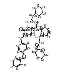 O=C(NCc1ccc(Oc2ccccc2)cc1)[C@H](CSCC1CCCCC1)NC(=O)[C@@H]1CSCN1CCOC1CCCCO1